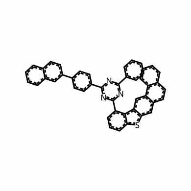 c1ccc(-c2nc(-c3ccc(-c4ccc5ccccc5c4)cc3)nc(-c3cccc4sc5cc6ccc7ccccc7c6cc5c34)n2)cc1